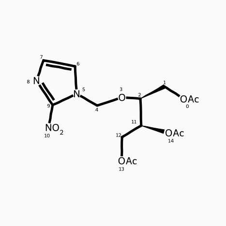 CC(=O)OC[C@H](OCn1ccnc1[N+](=O)[O-])[C@H](COC(C)=O)OC(C)=O